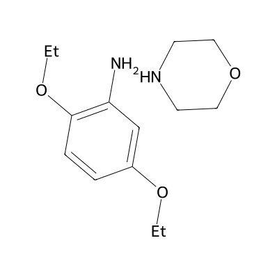 C1COCCN1.CCOc1ccc(OCC)c(N)c1